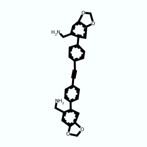 NCc1cc2c(cc1-c1ccc(C#Cc3ccc(-c4cc5c(cc4CN)OCO5)cc3)cc1)OCO2